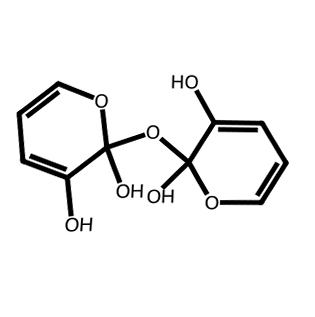 OC1=CC=COC1(O)OC1(O)OC=CC=C1O